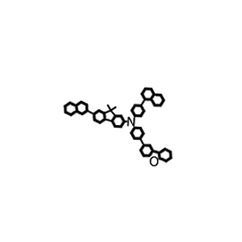 CC1(C)c2cc(-c3ccc4ccccc4c3)ccc2-c2ccc(N(c3ccc(-c4ccc5oc6ccccc6c5c4)cc3)c3ccc(-c4cccc5ccccc45)cc3)cc21